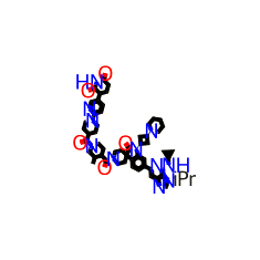 CC1CN(C(=O)C2CCN(c3ccc(C4CCC(=O)NC4=O)cn3)CC2)CCC1C(=O)N1CCC2(CC1)C(=O)N([C@H]1C[C@@H](N3CCCCC3)C1)c1cc(-c3cc4ncn(C(C)C)c4c(NC4CC4)n3)ccc12